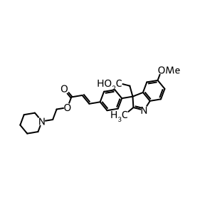 COc1ccc2c(c1)C(CC(=O)O)(c1ccc(C=CC(=O)OCCN3CCCCC3)cc1)C(C)=N2